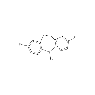 CCC1c2ccc(F)cc2CCc2cc(F)ccc21